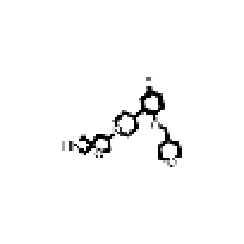 Fc1ccc(OCC2CCOCC2)c(C2CCN(C3COC4(CNC4)C3)CC2)c1